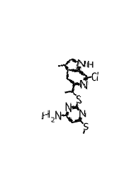 CSc1cc(N)nc(SC(C)c2cc3c(C)c[nH]c3c(Cl)n2)n1